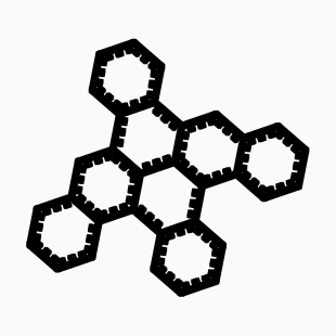 c1ccc2c(c1)cc1c3ccccc3c3cc4ccccc4c4c5ccccc5c2c1c34